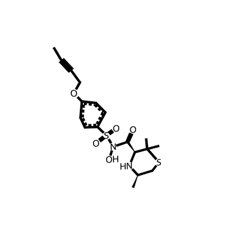 CC#CCOc1ccc(S(=O)(=O)N(O)C(=O)[C@@H]2N[C@H](C)CSC2(C)C)cc1